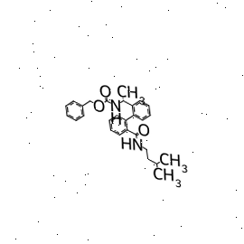 CC(C)CCNC(=O)c1ccccc1-c1ccccc1[C@@H](C)NC(=O)OCc1ccccc1